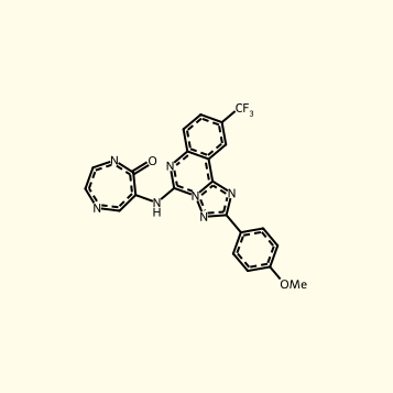 COc1ccc(-c2nc3c4cc(C(F)(F)F)ccc4nc(Nc4cnccnc4=O)n3n2)cc1